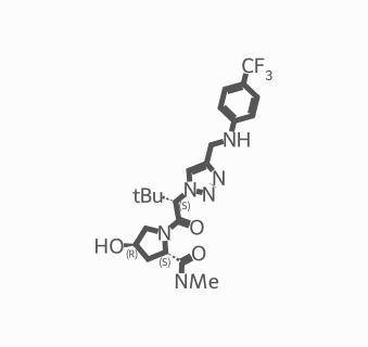 CNC(=O)[C@@H]1C[C@@H](O)CN1C(=O)[C@@H](n1cc(CNc2ccc(C(F)(F)F)cc2)nn1)C(C)(C)C